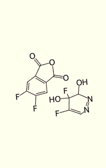 O=C1OC(=O)c2cc(F)c(F)cc21.OC1N=NC=C(F)C1(O)F